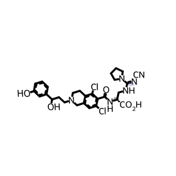 N#C/N=C(/NC[C@H](NC(=O)c1c(Cl)cc2c(c1Cl)CCN(CCC(O)c1cccc(O)c1)C2)C(=O)O)N1CCCC1